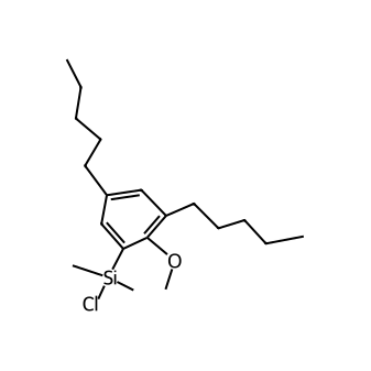 CCCCCc1cc(CCCCC)c(OC)c([Si](C)(C)Cl)c1